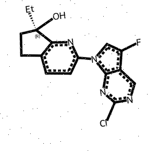 CC[C@@]1(O)CCc2ccc(-n3cc(F)c4cnc(Cl)nc43)nc21